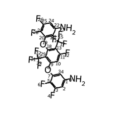 Nc1cc(F)c(F)c(Oc2cc(F)c(C(F)(F)F)c(Oc3cc(N)cc(F)c3F)c2C(F)(F)F)c1